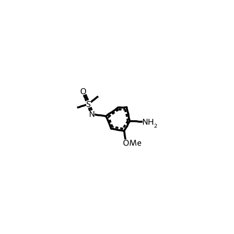 COc1cc(N=S(C)(C)=O)ccc1N